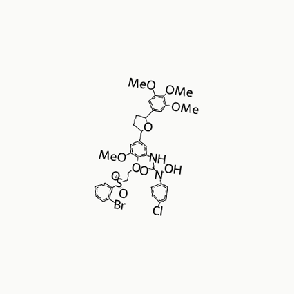 COc1cc(C2CCC(c3cc(OC)c(OC)c(OC)c3)O2)cc(NC(=O)N(O)c2ccc(Cl)cc2)c1OCCS(=O)(=O)c1ccccc1Br